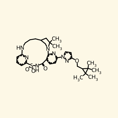 CC1(C)CC2CCCNc3cccc(n3)S(=O)(=O)NC(=O)c3ccc(-n4ccc(OCC5C(C)(C)C5(C)C)n4)nc3N1C2